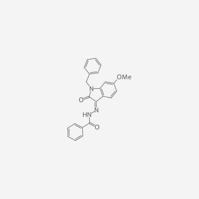 COc1ccc2c(c1)N(Cc1ccccc1)C(=O)C2=NNC(=O)c1ccccc1